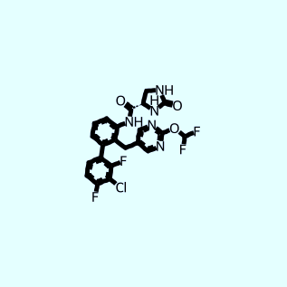 O=C1NC[C@@H](C(=O)Nc2cccc(-c3ccc(F)c(Cl)c3F)c2Cc2cnc(OC(F)F)nc2)N1